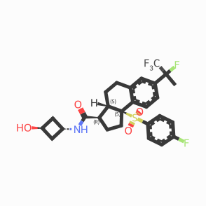 CC(F)(c1ccc2c(c1)CC[C@H]1[C@H](C(=O)N[C@H]3C[C@H](O)C3)CC[C@@]21S(=O)(=O)c1ccc(F)cc1)C(F)(F)F